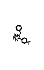 Fc1ccc(-c2nnnn2Cc2ccccc2)cc1